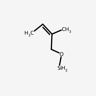 CC=C(C)CO[SiH3]